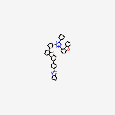 c1ccc(-c2nc(-c3cccc(-c4cccc5c4sc4ccc(-c6ccc(-c7nc8ccccc8o7)cc6)cc45)c3)nc(-c3cccc4oc5ccccc5c34)n2)cc1